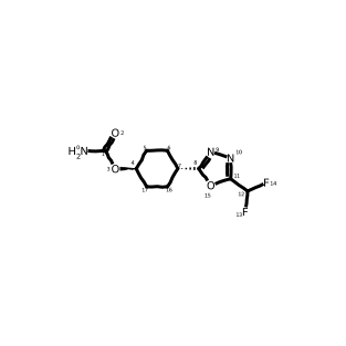 NC(=O)O[C@H]1CC[C@H](c2nnc(C(F)F)o2)CC1